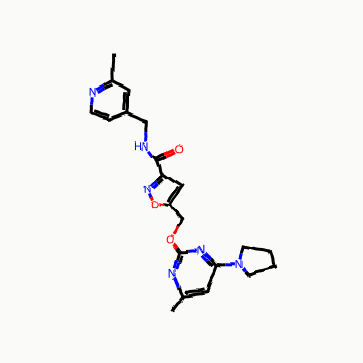 Cc1cc(CNC(=O)c2cc(COc3nc(C)cc(N4CCCC4)n3)on2)ccn1